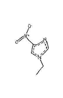 CCn1cnc([N+](=O)[O-])c1